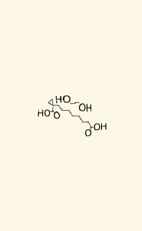 O=C(O)CCCCCCCC1(C(=O)O)CC1.OCCO